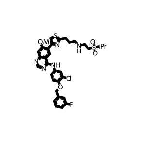 COc1cc2ncnc(Nc3ccc(OCc4cccc(F)c4)c(Cl)c3)c2cc1-c1csc(CCCNCCS(=O)(=O)C(C)C)n1